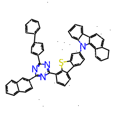 C1=Cc2c(ccc3c4ccccc4n(-c4ccc5c(c4)sc4c(-c6nc(-c7ccc(-c8ccccc8)cc7)nc(-c7ccc8ccccc8c7)n6)cccc45)c23)CC1